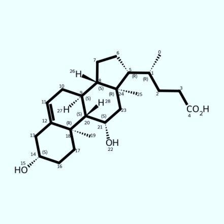 C[C@H](CCC(=O)O)[C@H]1CC[C@H]2[C@@H]3CC=C4C[C@@H](O)CC[C@]4(C)[C@H]3[C@@H](O)C[C@]12C